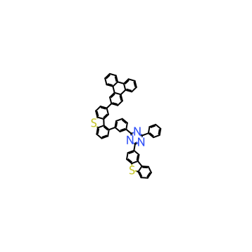 c1ccc(-c2nc(-c3cccc(-c4cccc5sc6ccc(-c7ccc8c9ccccc9c9ccccc9c8c7)cc6c45)c3)nc(-c3ccc4sc5ccccc5c4c3)n2)cc1